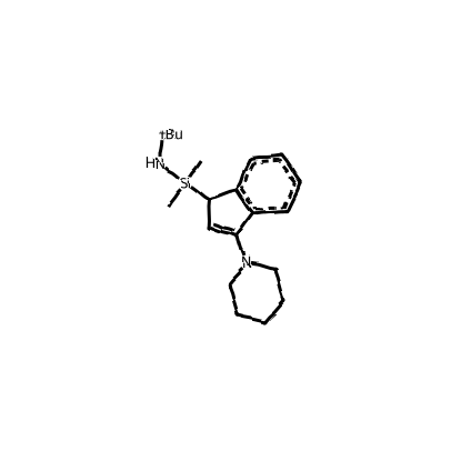 CC(C)(C)N[Si](C)(C)C1C=C(N2CCCCC2)c2ccccc21